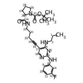 CCCNc1nc(Nc2cccc(F)c2)ncc1C#CCCCNC(=O)[C@@H]1CCCN1C(=O)OC(C)(C)C